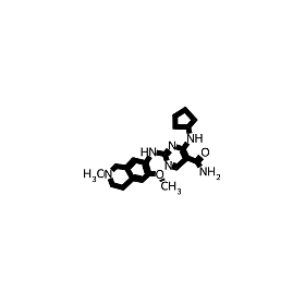 COc1cc2c(cc1Nc1ncc(C(N)=O)c(NC3CCCC3)n1)CN(C)CC2